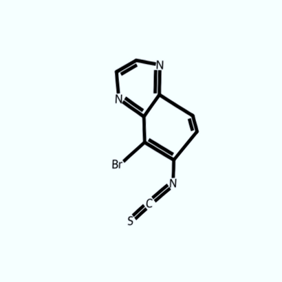 S=C=Nc1ccc2nccnc2c1Br